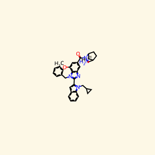 COc1cc(C(=O)N2CC3CCC2[C@@H]3N)cc2nc(-c3cc4ccccc4n3CC3CC3)n(Cc3ccccc3)c12